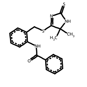 CC1(C)NC(=S)N=C1SCc1ccccc1NC(=O)c1ccccc1